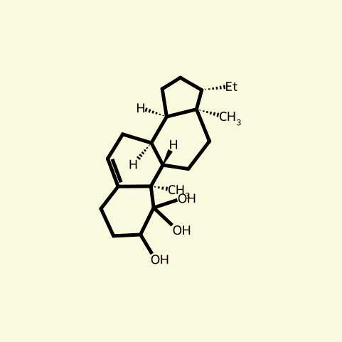 CC[C@H]1CC[C@@H]2[C@@H]3CC=C4CCC(O)C(O)(O)[C@]4(C)[C@H]3CC[C@]12C